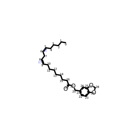 CCCCC/C=C\C/C=C\CCCCCCCC(=O)OCc1ccc2c(c1)OCO2